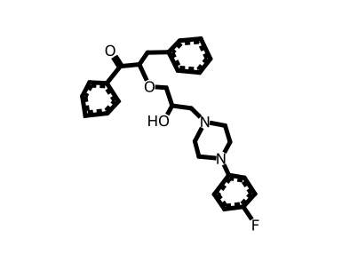 O=C(c1ccccc1)C(Cc1ccccc1)OCC(O)CN1CCN(c2ccc(F)cc2)CC1